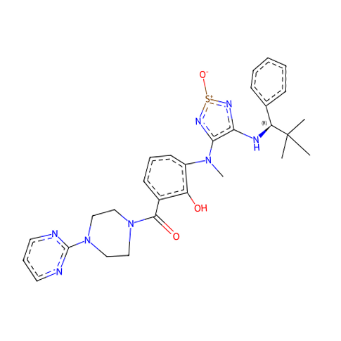 CN(c1cccc(C(=O)N2CCN(c3ncccn3)CC2)c1O)c1n[s+]([O-])nc1N[C@@H](c1ccccc1)C(C)(C)C